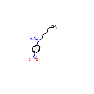 CCCCCN(N)c1ccc([N+](=O)[O-])cc1